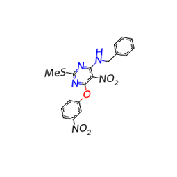 CSc1nc(NCc2ccccc2)c([N+](=O)[O-])c(Oc2cccc([N+](=O)[O-])c2)n1